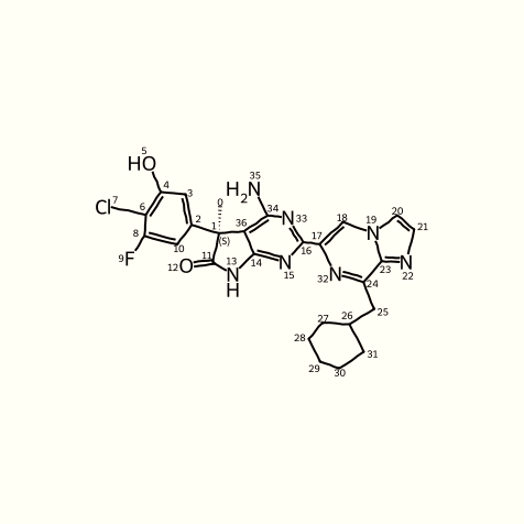 C[C@@]1(c2cc(O)c(Cl)c(F)c2)C(=O)Nc2nc(-c3cn4ccnc4c(CC4CCCCC4)n3)nc(N)c21